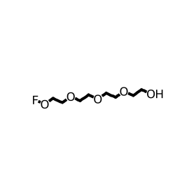 OCCOCCOCCOCCOF